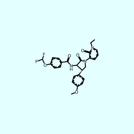 CCn1cccc(N2C[C@@H](c3ccc(OC)cc3)C(NC(=O)c3ccc(OC(F)F)cc3)C2=O)c1=O